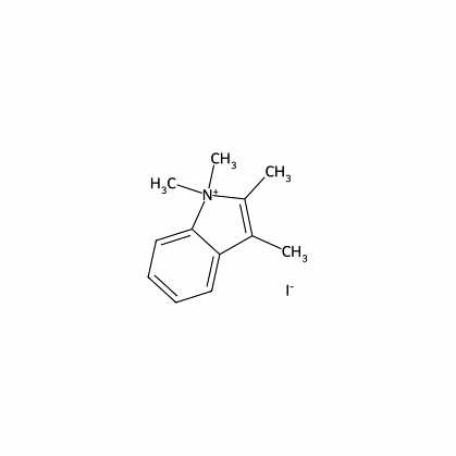 CC1=C(C)[N+](C)(C)c2ccccc21.[I-]